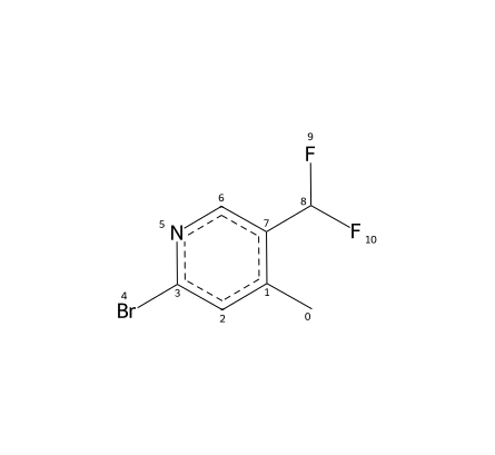 Cc1cc(Br)ncc1C(F)F